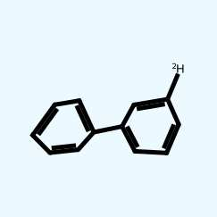 [2H]c1cccc(-c2ccccc2)c1